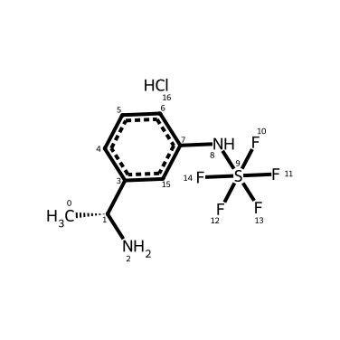 C[C@@H](N)c1cccc(NS(F)(F)(F)(F)F)c1.Cl